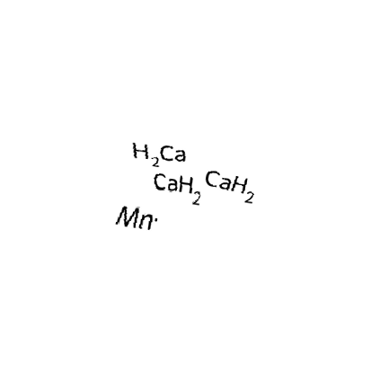 [CaH2].[CaH2].[CaH2].[Mn]